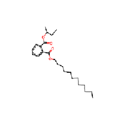 CCCCCCCCCCCCOC(=O)c1ccccc1C(=O)OC(C)CC